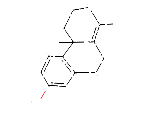 CCCCC1=C2CCc3cc(O)ccc3C2(C)CCC1